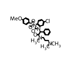 COc1ccc(S(=O)(=O)n2c(=O)n(C(C(=O)N(C)CCCN(C)C)c3ccccc3)c3cc(Cl)ccc32)cc1